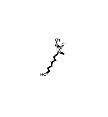 CN(CCCCCCO)/[N+]([O-])=N/O